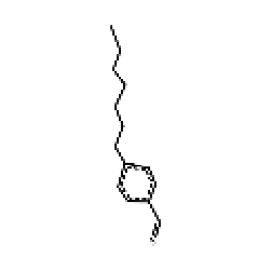 CCCCCCCc1ccc(C=S)cc1